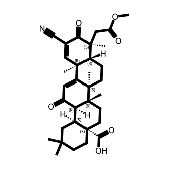 COC(=O)C[C@]1(C)C(=O)C(C#N)=C[C@]2(C)C3=CC(=O)[C@@H]4[C@@H]5CC(C)(C)CC[C@]5(C(=O)O)CC[C@@]4(C)[C@]3(C)CC[C@H]21